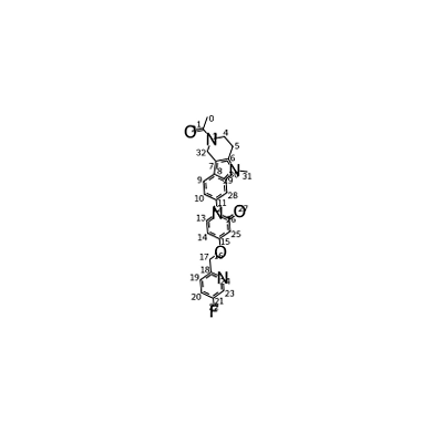 CC(=O)N1CCc2c(c3ccc(-n4ccc(OCc5ccc(F)cn5)cc4=O)cc3n2C)C1